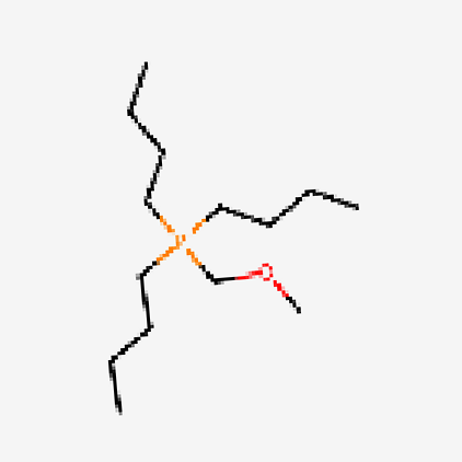 CCCC[P+](CCCC)(CCCC)COC